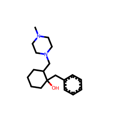 CN1CCN(CC2CCCCC2(O)Cc2ccccc2)CC1